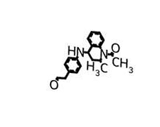 CC(=O)N1c2ccccc2C(Nc2ccc(CC=O)cc2)CC1C